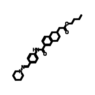 CCCCOC(=O)CC1CCc2cc(C(=O)Nc3ccc(C=NN4CCCCC4)cc3)ccc2C1